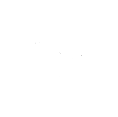 CCCCCC(=O)ON(CCO)CCO